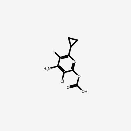 Nc1c(F)c(C2CC2)nc(OC(=O)O)c1Cl